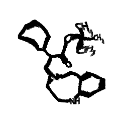 CC(C)(C)OC(=O)C(CN1CCNc2ccccc2C1)c1ccccc1